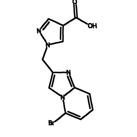 O=C(O)c1cnn(Cc2cn3c(Br)cccc3n2)c1